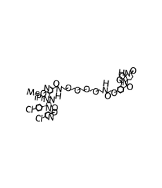 COc1ncc(C(=O)NCCOCCOCCOCCOCCNC(=O)COc2ccc3c(c2)C(=O)N(C2CCC(=O)NC2=O)C3=O)cc1-c1nc2c(n1C(C)C)[C@H](c1ccc(Cl)cc1)N(c1cc(Cl)cn(C)c1=O)C2=O